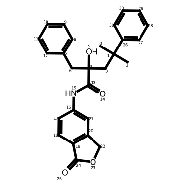 CC(C)(CC(O)(Cc1ccccc1)C(=O)Nc1ccc2c(c1)COC2=O)c1ccccc1